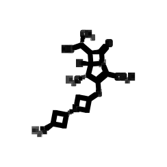 C[C@@H](O)[C@H]1C(=O)N2C(C(=O)O)=C(SC3CN([C@H]4C[C@H](N)C4)C3)[C@H](C)[C@H]12